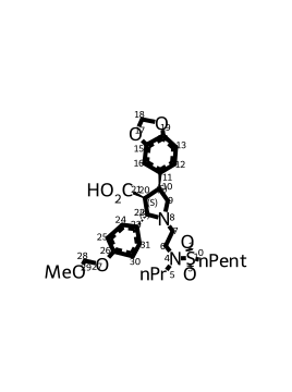 CCCCCS(=O)(=O)N(CCC)CCN1C[C@H](c2ccc3c(c2)OCO3)[C@H](C(=O)O)[C@H]1c1ccc(OCOC)cc1